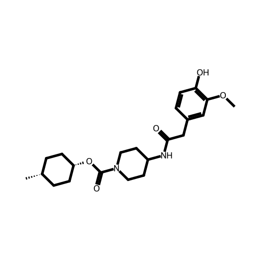 COc1cc(CC(=O)NC2CCN(C(=O)O[C@H]3CC[C@@H](C)CC3)CC2)ccc1O